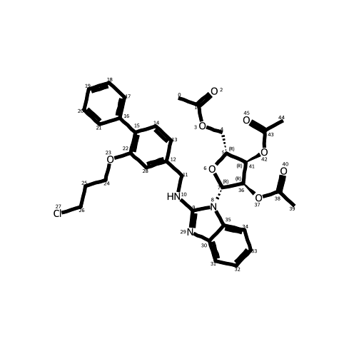 CC(=O)OC[C@H]1O[C@@H](n2c(NCc3ccc(-c4ccccc4)c(OCCCCl)c3)nc3ccccc32)[C@H](OC(C)=O)[C@@H]1OC(C)=O